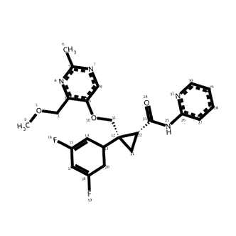 COCc1nc(C)ncc1OC[C@@]1(C2C=C(F)C=C(F)C2)C[C@H]1C(=O)Nc1ccccn1